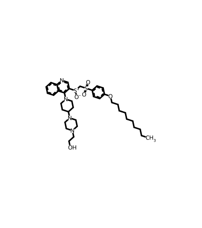 CCCCCCCCCCOc1ccc(S(=O)(=O)C[S+]([O-])c2cnc3ccccc3c2N2CCC(N3CCN(CCO)CC3)CC2)cc1